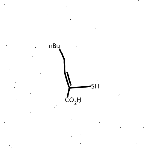 CCCCCC=C(S)C(=O)O